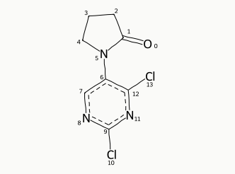 O=C1CCCN1c1cnc(Cl)nc1Cl